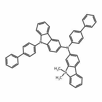 C[Si]1(C)c2ccccc2-c2ccc(N(c3ccc(-c4ccccc4)cc3)c3ccc4c(c3)c3ccccc3n4-c3ccc(-c4ccccc4)cc3)cc21